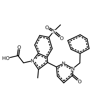 Cc1c(-c2ccc(=O)n(Cc3ccccc3)n2)c2cc(S(C)(=O)=O)ccc2n1CC(=O)O